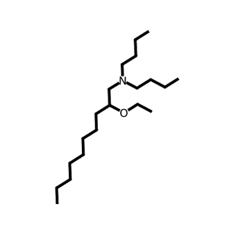 CCCCCCCCC(CN(CCCC)CCCC)OCC